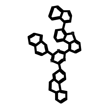 c1ccc2cc(-c3nc(-c4ccc5c(ccc6ccccc65)c4)nc(-c4cccc5oc6c(-c7cccc8ccccc78)cccc6c45)n3)ccc2c1